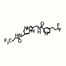 O=C(CCC(F)(F)F)NCc1cnn2cc(CNC(=O)c3cncc(CCC(F)F)c3)nc2c1